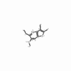 CCc1nc2c(C)c(C)sc2cc1SC